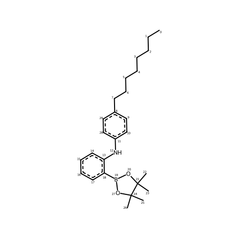 CCCCCCCCc1ccc(Nc2ccccc2B2OC(C)(C)C(C)(C)O2)cc1